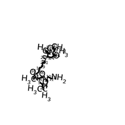 CC(C)C(=O)C[C@@H](C(=O)NCCN)N(C)C(=O)CCCCCSC1CC(=O)N(C(C)(C)C)C1=O